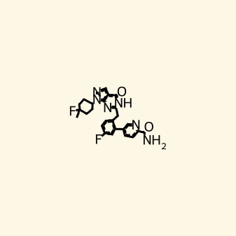 CC1(F)CCC(n2ncc3c(=O)[nH]c(Cc4ccc(F)cc4-c4ccc(C(N)=O)nc4)nc32)CC1